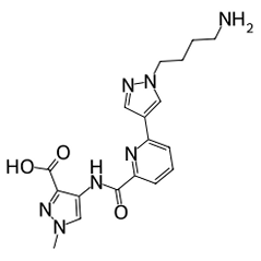 Cn1cc(NC(=O)c2cccc(-c3cnn(CCCCN)c3)n2)c(C(=O)O)n1